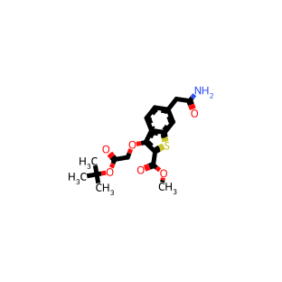 COC(=O)c1sc2cc(CC(N)=O)ccc2c1OCC(=O)OC(C)(C)C